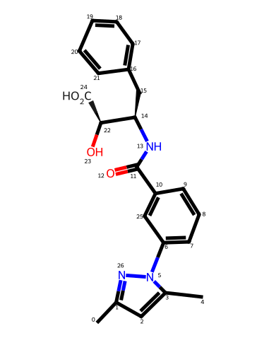 Cc1cc(C)n(-c2cccc(C(=O)N[C@H](Cc3ccccc3)[C@@H](O)C(=O)O)c2)n1